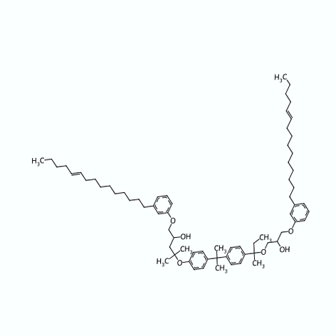 CCCC/C=C/CCCCCCCCCc1cccc(OCC(O)COC(C)(CC)c2ccc(C(C)(C)c3ccc(OC(C)(C)CC(O)COc4cccc(CCCCCCCCC/C=C/CCCC)c4)cc3)cc2)c1